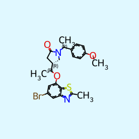 COc1ccc([C@@H](C)N2C[C@H]([C@@H](C)Oc3cc(Br)cc4nc(C)sc34)CC2=O)cc1